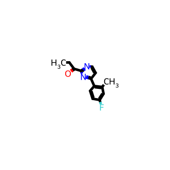 CCC(=O)c1nccc(-c2ccc(F)cc2C)n1